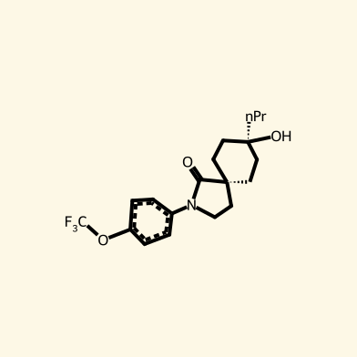 CCC[C@]1(O)CC[C@@]2(CCN(c3ccc(OC(F)(F)F)cc3)C2=O)CC1